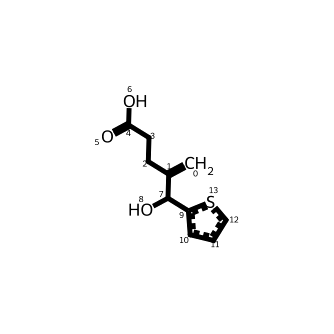 C=C(CCC(=O)O)C(O)c1cccs1